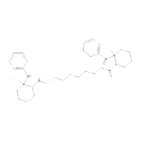 O=C(OCCCCCCOC(=O)C1CCCCC1(O)C(=O)c1ccccc1)C1CCCCC1(O)C(=O)c1ccccc1